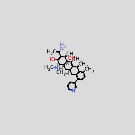 C=C(N)C1=C(O)[C@@H](N(C)C)[C@@H]2C[C@@H]3Cc4c(-c5cccnc5)ccc(C)c4C(=C)C3=C(C)[C@]2(O)C1=C